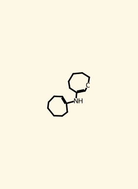 C1=C(/N/C2=C/CCCCCC2)CCCCCC/1